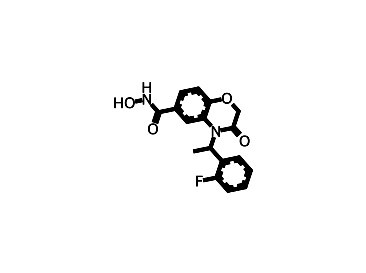 CC(c1ccccc1F)N1C(=O)COc2ccc(C(=O)NO)cc21